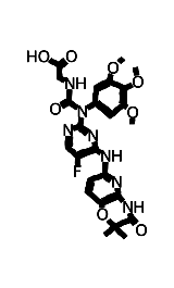 COc1cc(N(C(=O)NCC(=O)O)c2ncc(F)c(Nc3ccc4c(n3)NC(=O)C(C)(C)O4)n2)cc(OC)c1OC